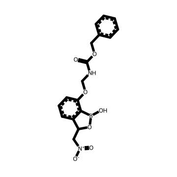 O=C(NCOc1cccc2c1B(O)OC2C[N+](=O)[O-])OCc1ccccc1